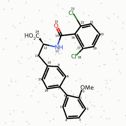 COc1ccccc1-c1ccc(C[C@H](NC(=O)c2c(Cl)cccc2Cl)C(=O)O)cc1